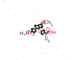 COc1ccc2c(Oc3ccc(C(C)C(=O)O)cc3)c(-c3ccc(OC)c(F)c3)ccc2c1